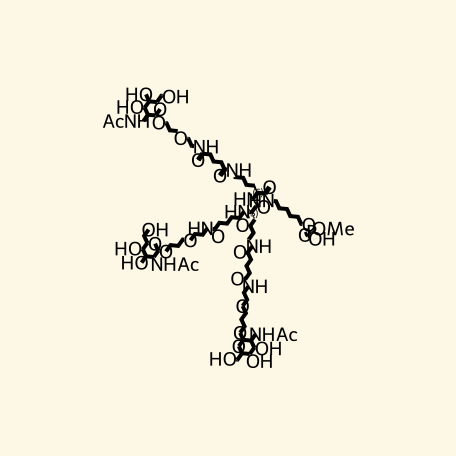 COP(=O)(O)OCCCCCCNC(=O)[C@H](CCCCNC(=O)CCCC(=O)NCCOCCCOC1OC(CO)C(O)C(O)C1NC(C)=O)NC(=O)[C@H](CCCCNC(=O)CCCC(=O)NCCOCCCOC1OC(CO)C(O)C(O)C1NC(C)=O)NC(=O)CCCC(=O)NCCOCCCOC1OC(CO)C(O)C(O)C1NC(C)=O